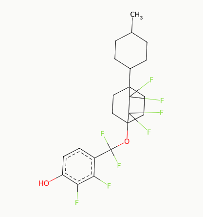 CC1CCC(C23CCC(OC(F)(F)c4ccc(O)c(F)c4F)(CC2)C(F)(F)C3(F)F)CC1